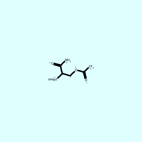 CCCCCCCC(COC(=O)C(F)(F)F)C(N)=O